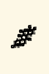 CCn1c(COC)c(-c2ccc(Cl)cc2)c(=O)c(C(=O)OC)c1-c1ccc(Cl)c(Cl)c1